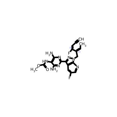 C#C/C=C(F)\C(=C/C)Cn1nc(-c2nc(N)c(NC(=O)OC)c(N)n2)c2cc(F)cnc21